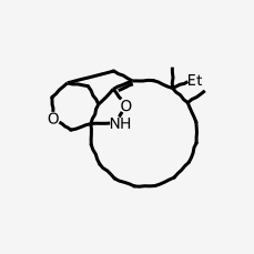 CCC1(C)CC2=C3ONC4(CCCCCCCCCC1C)COCC(C2)CC34